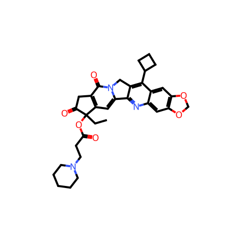 CCC1(OC(=O)CCN2CCCCC2)C(=O)Cc2c1cc1n(c2=O)Cc2c-1nc1cc3c(cc1c2C1CCC1)OCO3